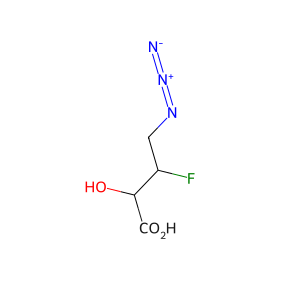 [N-]=[N+]=NCC(F)C(O)C(=O)O